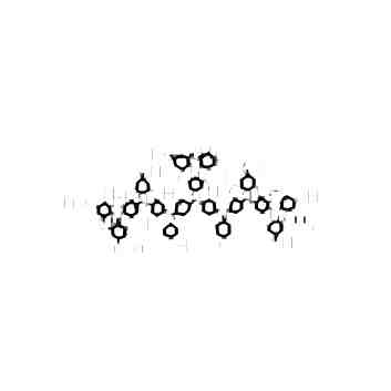 CCCCc1cc(C)c(N(c2ccc(N(c3ccc(N(c4ccc(C)cc4)c4ccc(N(c5ccc(N(c6ccc(C)cc6)c6ccc(N(c7ccc(N(c8c(C)cc(C)cc8C)c8c(C)cc(C)cc8C)cc7)c7c(C)cc(C)cc7C)cc6)cc5)c5ccc(N(c6c(C)cc(C)cc6C)c6c(C)cc(C)cc6C)cc5)cc4)cc3)c3c(C)cc(C)cc3C)cc2)c2c(C)cc(C)cc2C)c(C)c1